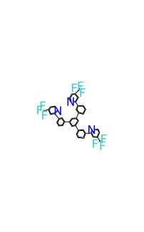 FC(F)(F)c1ccnc(-c2cccc(-c3cc(-c4cccc(-c5cc(C(F)(F)F)ccn5)c4)cc(-c4cccc(-c5cc(C(F)(F)F)ccn5)c4)c3)c2)c1